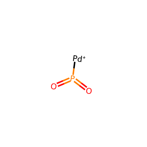 O=[P](=O)[Pd+]